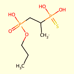 [CH2]C(CP(=O)(O)OCCC)P(O)(O)=S